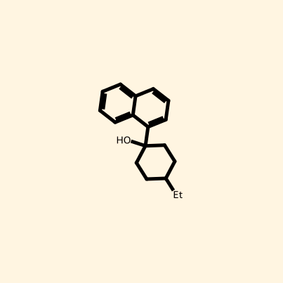 CC[C]1CCC(O)(c2cccc3ccccc23)CC1